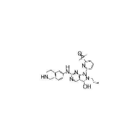 C=CCN1C(O)c2cnc(Nc3ccc4c(c3)CCNC4)nc2N1c1cccc(P(C)(C)=O)n1